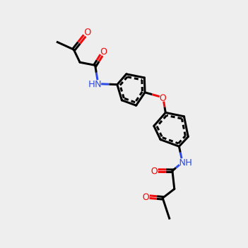 CC(=O)CC(=O)Nc1ccc(Oc2ccc(NC(=O)CC(C)=O)cc2)cc1